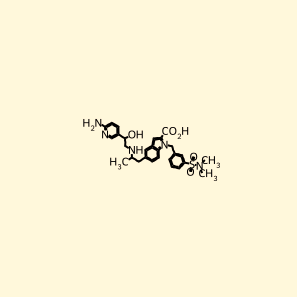 CC(Cc1ccc2c(c1)cc(C(=O)O)n2Cc1cccc(S(=O)(=O)N(C)C)c1)NCC(O)c1ccc(N)nc1